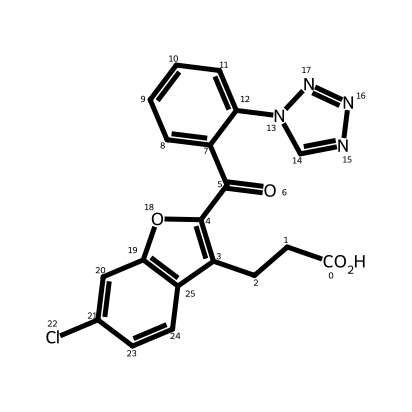 O=C(O)CCc1c(C(=O)c2ccccc2-n2cnnn2)oc2cc(Cl)ccc12